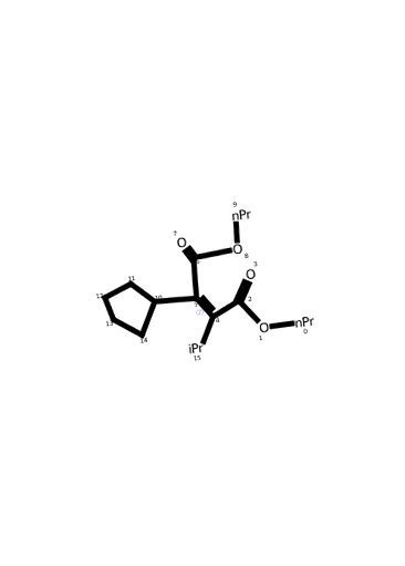 CCCOC(=O)/C(=C(\C(=O)OCCC)C1CCCC1)C(C)C